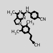 C#C/C=C/c1cc(C)c(N2CCc3c(C)nc(Nc4ccc(C#N)cc4)nc32)c(C)c1